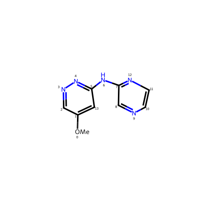 COc1cnnc(Nc2cnccn2)c1